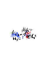 CNc1nc(Nc2cccc(F)c2)ncc1C#C[C@H]1C[C@@H](NC(=O)[C@H](C)N(C)C(=O)OC(C)(C)C)C1